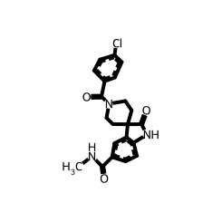 CNC(=O)c1ccc2c(c1)C1(CCN(C(=O)c3ccc(Cl)cc3)CC1)C(=O)N2